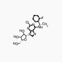 C[C@H](Nc1nc(Cl)nc2c1ncn2[C@@H]1O[C@H](CO)[C@@H](O)[C@H]1O)c1ccccc1F